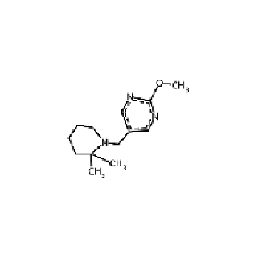 COc1ncc(CN2CCCCC2(C)C)cn1